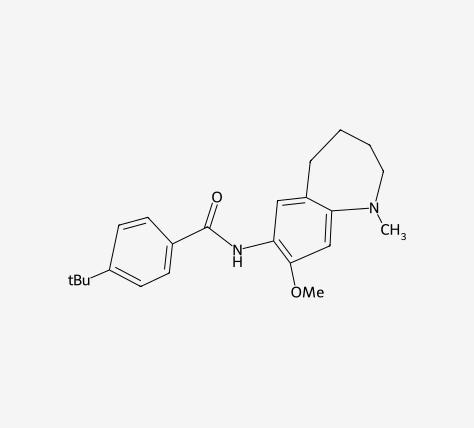 COc1cc2c(cc1NC(=O)c1ccc(C(C)(C)C)cc1)CCCCN2C